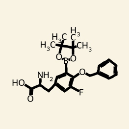 CC1(C)OB(c2cc(CC(N)C(=O)O)cc(F)c2OCc2ccccc2)OC1(C)C